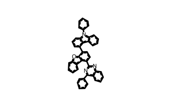 c1ccc(-c2nc(-c3ccc(-c4cccc5c4c4ccccc4n5-c4ccccc4)c4oc5ccccc5c34)nc3ccccc23)cc1